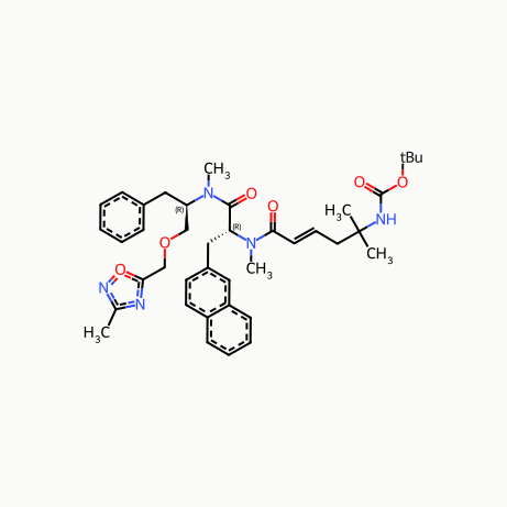 Cc1noc(COC[C@@H](Cc2ccccc2)N(C)C(=O)[C@@H](Cc2ccc3ccccc3c2)N(C)C(=O)C=CCC(C)(C)NC(=O)OC(C)(C)C)n1